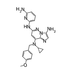 COc1ccc(CN(c2cc(Nc3cccc(N)n3)nn3c(N)cnc23)C2CC2)cc1